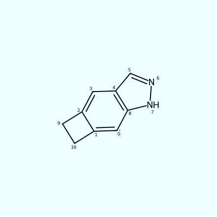 [c]1c2c(cc3cn[nH]c13)CC2